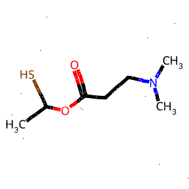 CC(S)OC(=O)CCN(C)C